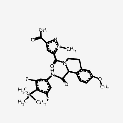 COc1ccc2c(c1)CCN(C(=O)c1cc(C(=O)O)nn1C)C2C(=O)Nc1cc(F)c([Si](C)(C)C)c(F)c1